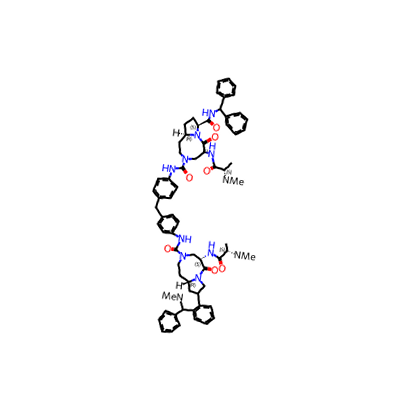 CNC(c1ccccc1)c1ccccc1C1C[C@@H]2CCN(C(=O)Nc3ccc(Cc4ccc(NC(=O)N5CC[C@H]6CC[C@@H](C(=O)NC(c7ccccc7)c7ccccc7)N6C(=O)[C@@H](NC(=O)[C@H](C)NC)C5)cc4)cc3)C[C@H](NC(=O)[C@H](C)NC)C(=O)N2C1